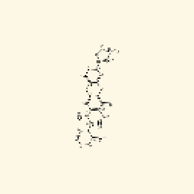 Cc1c(Cc2ccc(-c3ccn(C)n3)cc2)cc2c(=O)n(C3COCCC3O)nnc2c1C